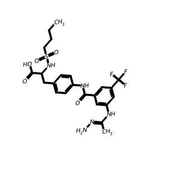 CCCCS(=O)(=O)NC(Cc1ccc(NC(=O)c2cc(NC(C)=NN)cc(C(F)(F)F)c2)cc1)C(=O)O